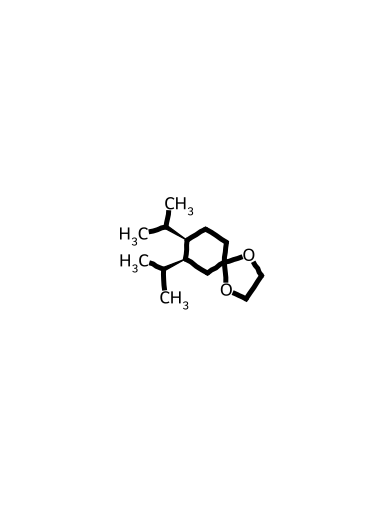 CC(C)[C@H]1CCC2(C[C@H]1C(C)C)OCCO2